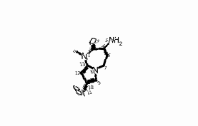 CN1C(=O)C(N)CCn2cc(Br)cc21